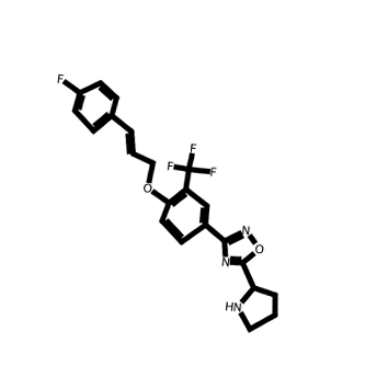 Fc1ccc(/C=C/COc2ccc(-c3noc(C4CCCN4)n3)cc2C(F)(F)F)cc1